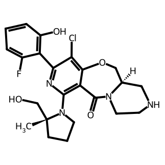 C[C@]1(CO)CCCN1c1nc(-c2c(O)cccc2F)c(Cl)c2c1C(=O)N1CCNC[C@@H]1CO2